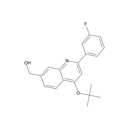 CC(C)(C)Oc1cc(-c2cccc(F)c2)nc2cc(CO)ccc12